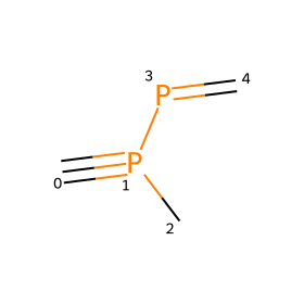 C#P(C)P=C